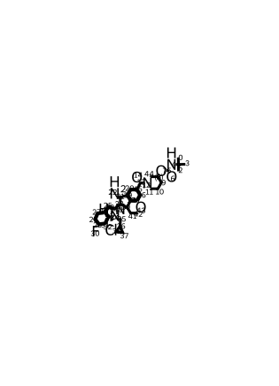 CC(C)(C)NC(=O)O[C@@H]1CCCN(C(=O)c2cc3c4c(c2)C(N)C(c2cc5ccc(F)c(Cl)c5n2CC2CC2)C4(N)CCO3)C1